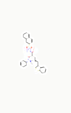 CCN(C(=O)C(CC=Cc1csc2ccccc12)C(=O)NS(=O)(=O)c1ccc2ccccc2c1)c1ccccc1